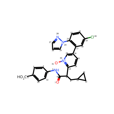 O=C(O)c1ccc(NC(=O)C(CC2CC2)c2ccc(-c3cc(Cl)ccc3-n3cccn3)c[n+]2[O-])cc1